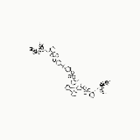 Cc1cc(C2(c3ccc(OC(=O)Oc4ccccc4CCC[Si](C)(O[Si](C)(C)C)O[Si](C)(C)O[Si](C)(C)C)c(C)c3)c3ccccc3-c3ccccc32)ccc1OC(=O)Oc1ccc(C(C)(C)c2ccc(OC(=O)Oc3ccccc3CCC[Si](C)(O[Si](C)(C)C)O[Si](C)(C)O[Si](C)(C)C)cc2)cc1